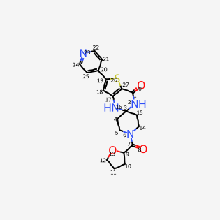 O=C1NC2(CCN(C(=O)C3CCCO3)CC2)Nc2cc(-c3ccncc3)sc21